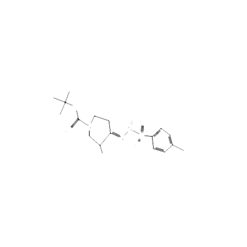 Cc1ccc(S(=O)(=O)NN=C2CCN(C(=O)OC(C)(C)C)CC2C)cc1